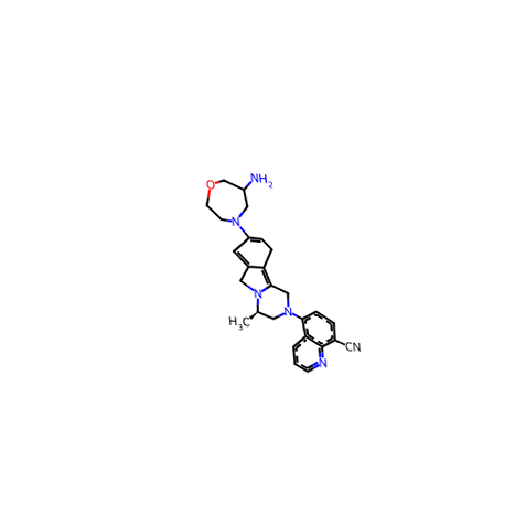 C[C@@H]1CN(c2ccc(C#N)c3ncccc23)CC2=C3CC=C(N4CCOCC(N)C4)C=C3CN21